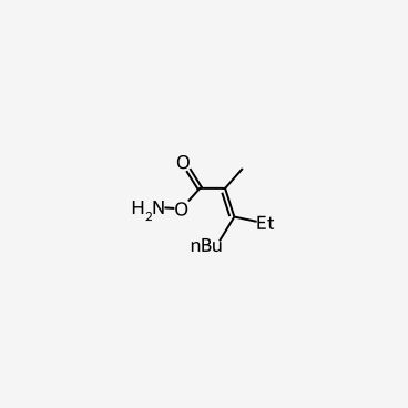 CCCCC(CC)=C(C)C(=O)ON